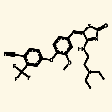 CCN(CC)CCNC1=NC(=O)SC1=Cc1ccc(Oc2ccc(C#N)c(C(F)(F)F)c2)c(OC)c1